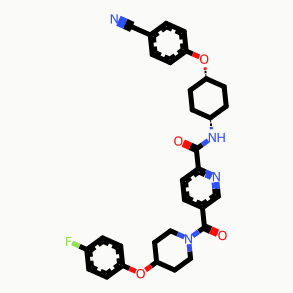 N#Cc1ccc(O[C@H]2CC[C@@H](NC(=O)c3ccc(C(=O)N4CCC(Oc5ccc(F)cc5)CC4)cn3)CC2)cc1